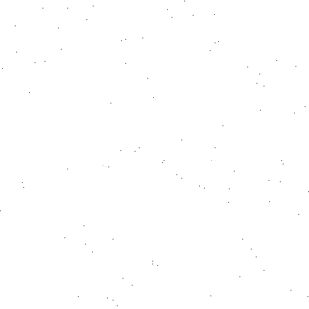 CN(c1ccccc1)S(=O)(=O)c1ccc(/C=[N+](\[O-])C(C)(C)C)cc1